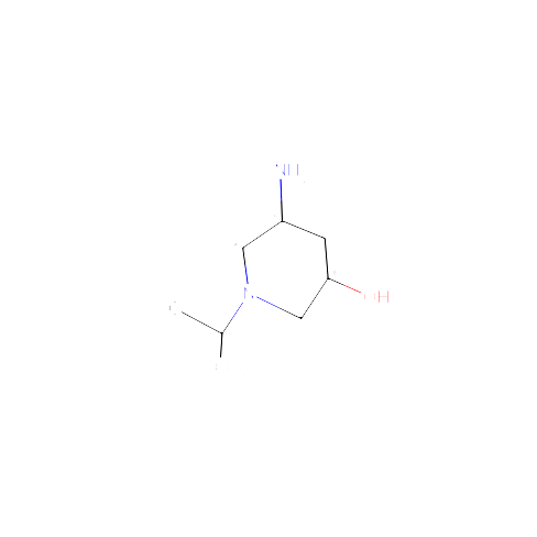 CC(C)N1CC(N)CC(O)C1